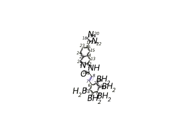 Bc1c(B)c(B)c(/C=C/C(=O)Nc2cc3cc(-c4cncn4C)ccc3cn2)c(B)c1B